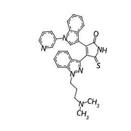 CN(C)CCCn1nc(C2=C(c3cn(-c4cccnc4)c4ccccc34)C(=O)NC2=S)c2ccccc21